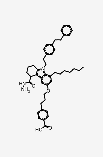 CCCCCCCc1cc(OCCCc2ccc(C(=O)O)cc2)cc2c3c(n(CCc4ccc(CCc5ccccc5)cc4)c12)CCCC3C(=O)NN